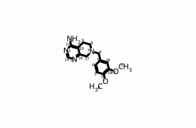 COc1ccc(CN2CCc3c(N)ncnc3C2)cc1OC